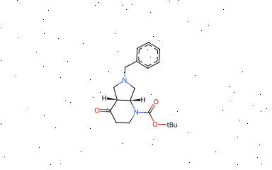 CC(C)(C)OC(=O)N1CCC(=O)[C@@H]2CN(Cc3ccccc3)C[C@@H]21